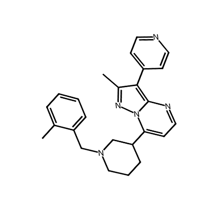 Cc1ccccc1CN1CCCC(c2ccnc3c(-c4ccncc4)c(C)nn23)C1